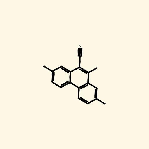 Cc1ccc2c(c1)c(C)c(C#N)c1cc(C)ccc12